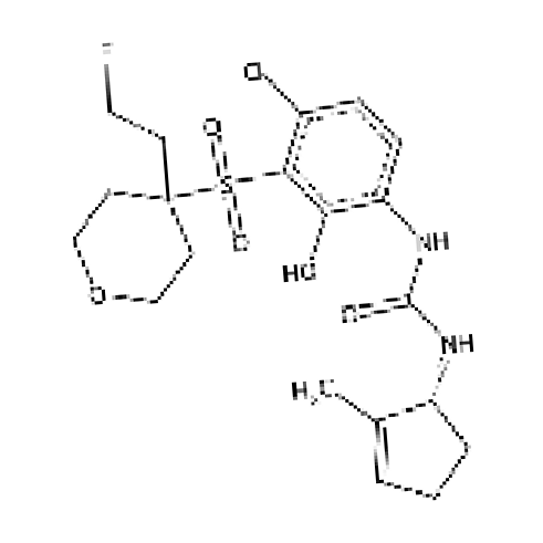 CC1=CCC[C@H]1NC(=O)Nc1ccc(Cl)c(S(=O)(=O)C2(CCF)CCOCC2)c1O